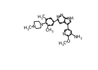 COc1ncc(-c2c[nH]c3nnc(-c4cc(C)c(N5CCN(C)CC5)c(C)c4)cc23)cc1N